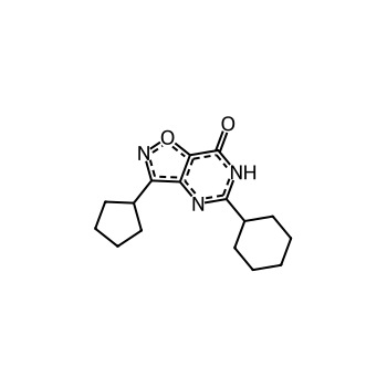 O=c1[nH]c(C2CCCCC2)nc2c(C3CCCC3)noc12